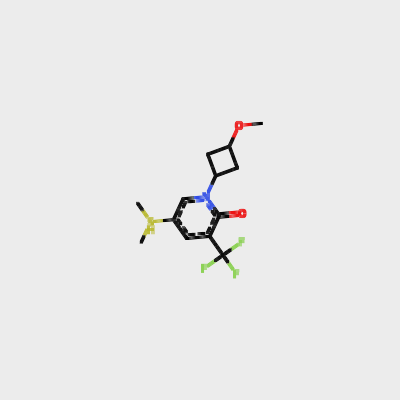 COC1CC(n2cc([SH](C)C)cc(C(F)(F)F)c2=O)C1